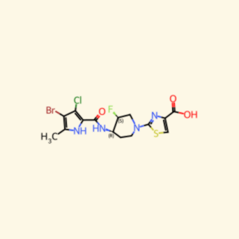 Cc1[nH]c(C(=O)N[C@@H]2CCN(c3nc(C(=O)O)cs3)C[C@@H]2F)c(Cl)c1Br